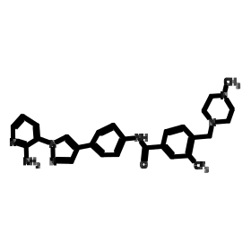 CN1CCN(Cc2ccc(C(=O)Nc3ccc(-c4cnn(-c5cccnc5N)c4)cc3)cc2C(F)(F)F)CC1